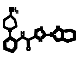 NC1CCN(c2ccccc2NC(=O)c2csc(-n3cc4ccccc4n3)n2)CC1